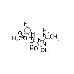 CCC(N)c1nc(O)c(O)c(C(=O)NCc2ccc(F)cc2S(C)(=O)=O)n1